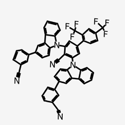 N#Cc1cccc(-c2ccc3c(c2)c2ccccc2n3-c2cc(-c3ccc(C(F)(F)F)cc3C(F)(F)F)cc(-n3c4ccccc4c4cc(-c5cccc(C#N)c5)ccc43)c2C#N)c1